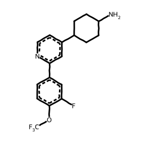 NC1CCC(c2ccnc(-c3ccc(OC(F)(F)F)c(F)c3)c2)CC1